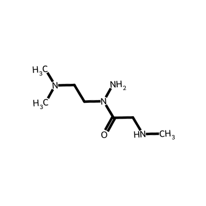 CNCC(=O)N(N)CCN(C)C